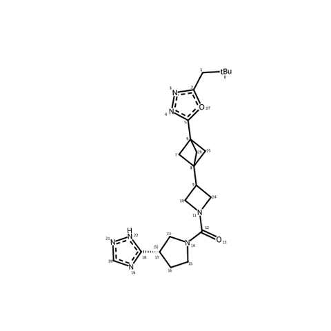 CC(C)(C)Cc1nnc(C23CC(C4CN(C(=O)N5CC[C@H](c6ncn[nH]6)C5)C4)(C2)C3)o1